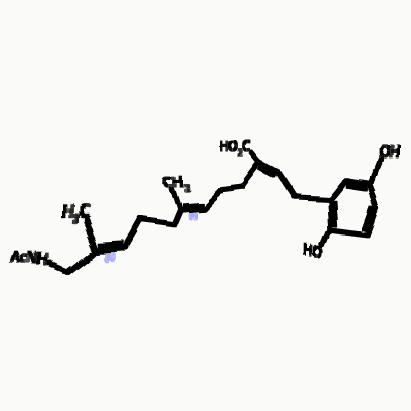 CC(=O)NC/C(C)=C/CC/C(C)=C/CCC(=CCc1cc(O)ccc1O)C(=O)O